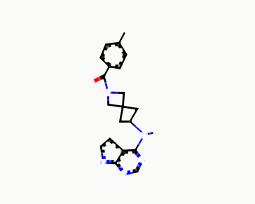 Cc1ccc(C(=O)N2CC3(CC(N(C)c4ncnc5[nH]ccc45)C3)C2)cc1